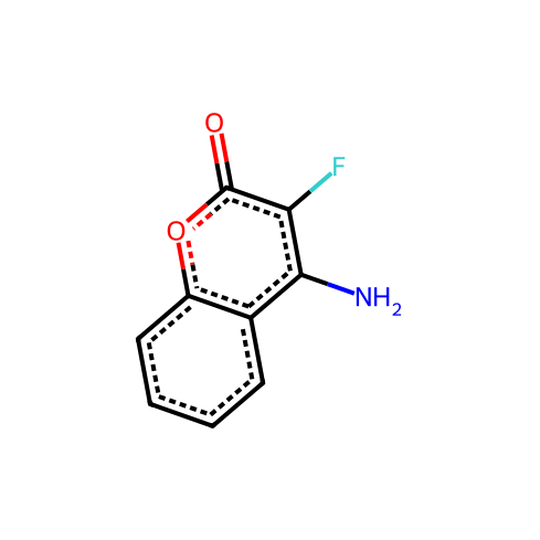 Nc1c(F)c(=O)oc2ccccc12